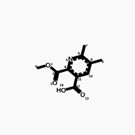 COC(=O)c1nc(C)c(C)cc1C(=O)O